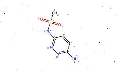 CS(=O)(=O)Nc1ccc(N)nn1